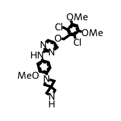 COc1cc(Nc2ncc(OCc3c(Cl)c(OC)cc(OC)c3Cl)cn2)ccc1N1CC2(CNC2)C1